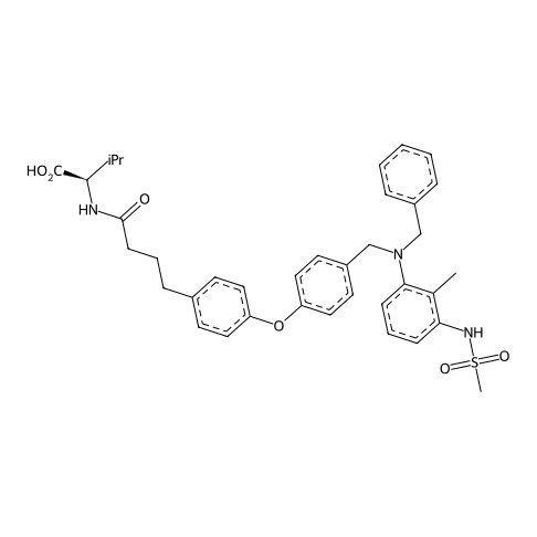 Cc1c(NS(C)(=O)=O)cccc1N(Cc1ccccc1)Cc1ccc(Oc2ccc(CCCC(=O)N[C@@H](C(=O)O)C(C)C)cc2)cc1